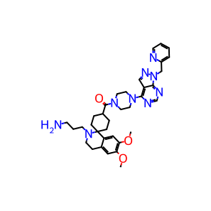 COc1cc2c(cc1OC)C1(CCC(C(=O)N3CCN(c4ncnc5c4cnn5Cc4ccccn4)CC3)CC1)N(CCCN)CC2